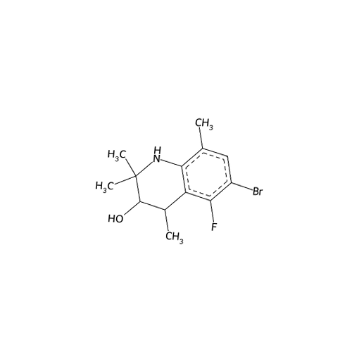 Cc1cc(Br)c(F)c2c1NC(C)(C)C(O)C2C